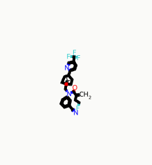 C=C(CCF)C(=O)N(CC12CCC(c3ccc(C(F)(F)F)cn3)(CC1)CC2)c1cccc(C#N)c1